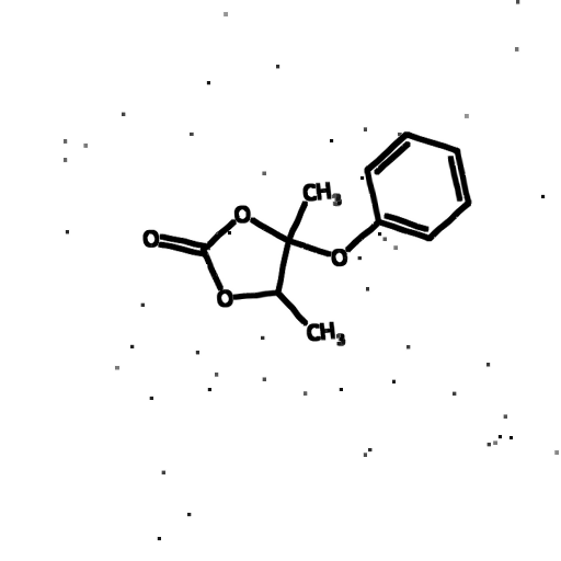 CC1OC(=O)OC1(C)Oc1ccccc1